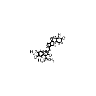 Cc1ccc(C(C(=O)NCc2scc3c2CN(C2CCC(=O)NC2=O)C3=O)C(C)C)cc1Cl